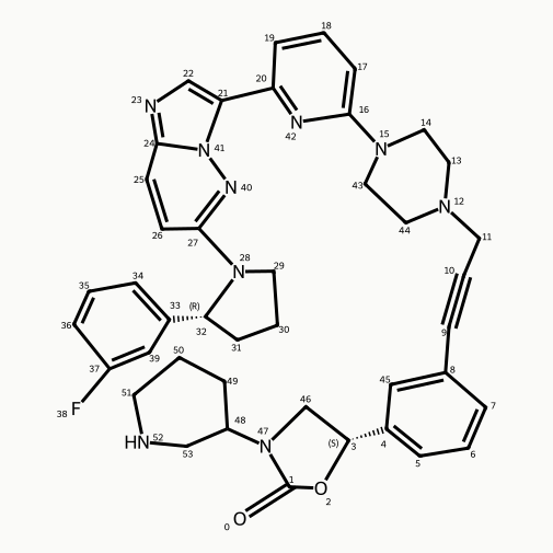 O=C1O[C@@H](c2cccc(C#CCN3CCN(c4cccc(-c5cnc6ccc(N7CCC[C@@H]7c7cccc(F)c7)nn56)n4)CC3)c2)CN1C1CCCNC1